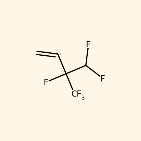 C=[C]C(F)(C(F)F)C(F)(F)F